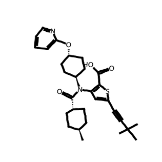 CC(C)(C)C#Cc1cc(N(C(=O)[C@H]2CC[C@H](C)CC2)[C@H]2CC[C@H](Oc3ccccn3)CC2)c(C(=O)O)s1